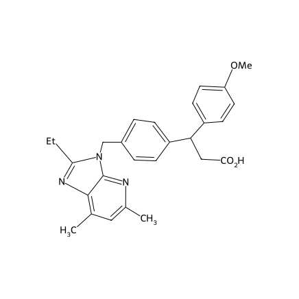 CCc1nc2c(C)cc(C)nc2n1Cc1ccc(C(CC(=O)O)c2ccc(OC)cc2)cc1